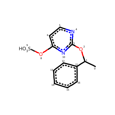 CC(Oc1nccc(OS(=O)(=O)O)n1)c1ccccc1